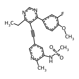 CCc1ncnc(-c2ccc(OC)c(F)c2)c1C#Cc1cnc(C)c(NS(C)(=O)=O)c1